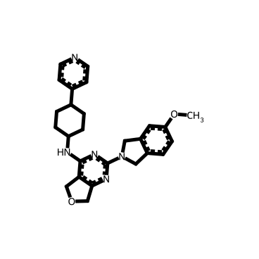 COc1ccc2c(c1)CN(c1nc3c(c(NC4CCC(c5ccncc5)CC4)n1)COC3)C2